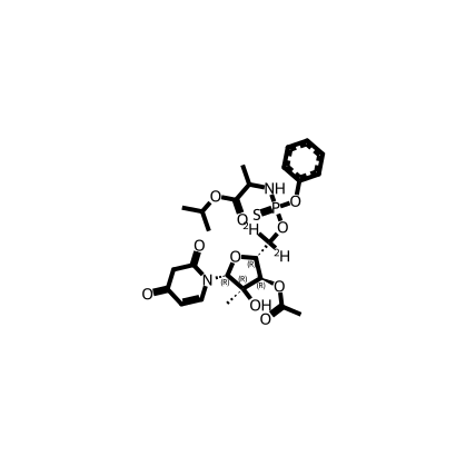 [2H]C([2H])(OP(=S)(NC(C)C(=O)OC(C)C)Oc1ccccc1)[C@H]1O[C@@H](N2C=CC(=O)CC2=O)[C@](C)(O)[C@@H]1OC(C)=O